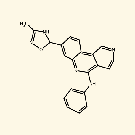 CC1=NOC(c2ccc3c(c2)nc(Nc2ccccc2)c2ccncc23)N1